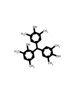 Cc1cc(C)c(O)c(C(c2cc(C)c(O)c(C)c2)c2cc(C)c(O)c(C)c2)c1